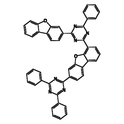 c1ccc(-c2nc(-c3ccccc3)nc(-c3ccc4c(c3)oc3c(-c5nc(-c6ccccc6)nc(-c6ccc7c(c6)oc6ccccc67)n5)cccc34)n2)cc1